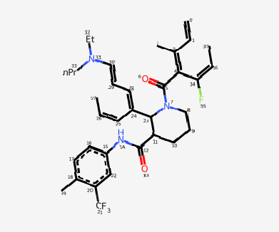 C=C/C(C)=C(C(=O)N1CCCC(C(=O)Nc2ccc(C)c(C(F)(F)F)c2)C1C(/C=C\C)=C/C=C/N(CC)CCC)\C(F)=C/C